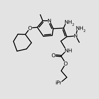 Cc1nc(/C(N)=C(\CNC(=O)OCCC(C)C)N(C)N)ccc1OC1CCCCC1